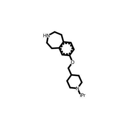 CC(C)N1CCC(COc2ccc3c(c2)CCNCC3)CC1